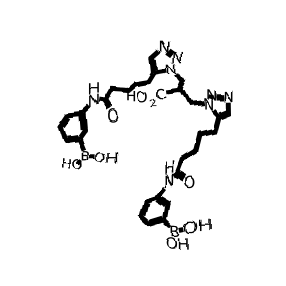 O=C(CCCCc1cnnn1CC(Cn1nncc1CCCCC(=O)Nc1cccc(B(O)O)c1)C(=O)O)Nc1cccc(B(O)O)c1